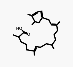 CC1=CC=C(C/C=C(\C)CCCC(C)CC/C=C(\C)CCCC(C)C(=O)O)CC1C